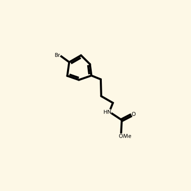 COC(=O)NCCCc1ccc(Br)cc1